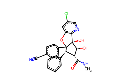 CNC(=O)[C@H]1[C@@H](O)[C@@]2(O)c3ncc(Cl)cc3O[C@@]2(c2ccc(C#N)cc2)[C@@H]1c1ccccc1